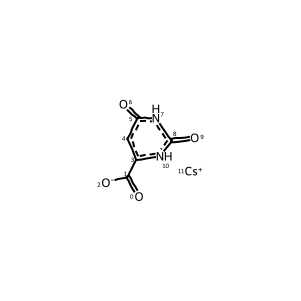 O=C([O-])c1cc(=O)[nH]c(=O)[nH]1.[Cs+]